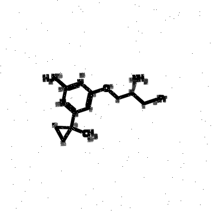 CC(C)C[C@@H](N)COc1cc(C2(C)CC2)nc(N)n1